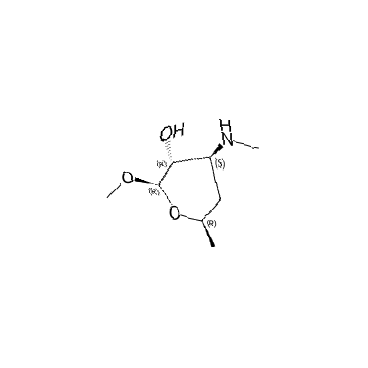 CN[C@H]1C[C@@H](C)O[C@@H](OC)[C@@H]1O